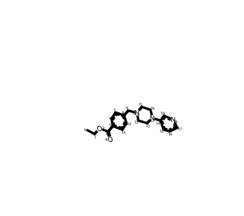 CCOC(=O)c1ccc(CN2CCN(c3cccnc3)CC2)cc1